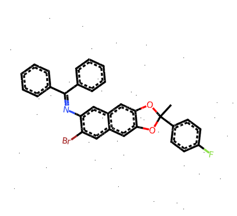 CC1(c2ccc(F)cc2)Oc2cc3cc(Br)c(N=C(c4ccccc4)c4ccccc4)cc3cc2O1